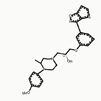 COc1ccc(N2CCN(C[C@@H](O)COc3cccc(-c4noc5ccsc45)c3)CC2C)cc1